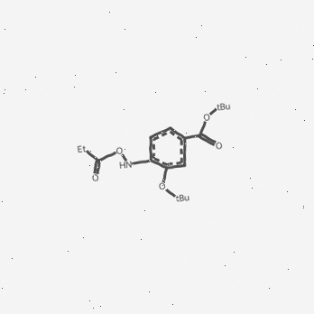 CCC(=O)ONc1ccc(C(=O)OC(C)(C)C)cc1OC(C)(C)C